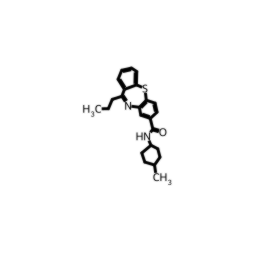 CCCC1=Nc2cc(C(=O)NC3CCC(C)CC3)ccc2Sc2ccccc21